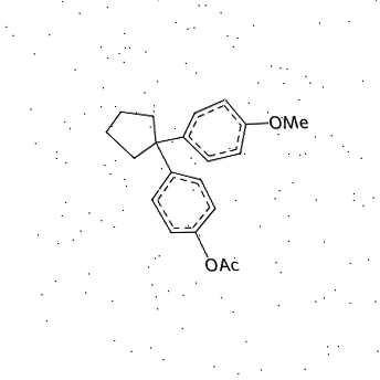 COc1ccc(C2(c3ccc(OC(C)=O)cc3)CCCC2)cc1